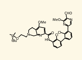 COc1cc(C(=O)Nc2cccc(-c3cccc(-c4cnc(C=O)c(OC)n4)c3Cl)c2Cl)nc2c1CCN(CCO[Si](C)(C)C(C)(C)C)C2